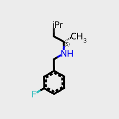 CC(C)C[C@H](C)NCc1cccc(F)c1